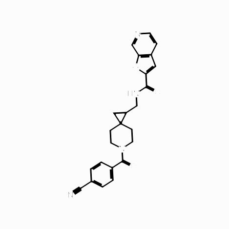 N#Cc1ccc(C(=O)N2CCC3(CC2)CC3CNC(=O)c2cc3ccncc3o2)cc1